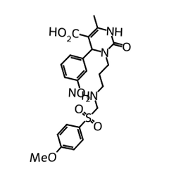 COc1ccc(S(=O)(=O)CNCCCN2C(=O)NC(C)=C(C(=O)O)C2c2cccc([N+](=O)[O-])c2)cc1